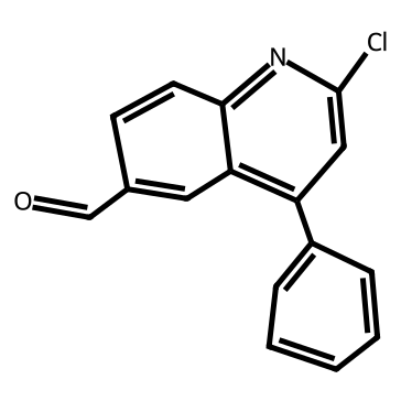 O=Cc1ccc2nc(Cl)cc(-c3ccccc3)c2c1